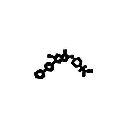 CC(C)(C(=O)O)[C@H]1CC[C@H](Oc2cc3nc(-c4ccc(-c5ccccc5)cc4)c(Cl)cc3[nH]2)CC1